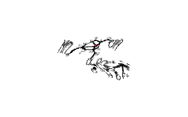 O=S(=O)(NS(=O)(=O)C(F)(F)F)OCC12CC3CC(CO)(CC(CO)(C3)C1)C2